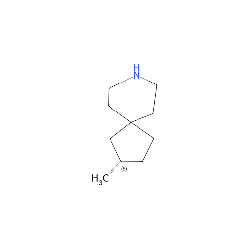 C[C@H]1CCC2(CCNCC2)C1